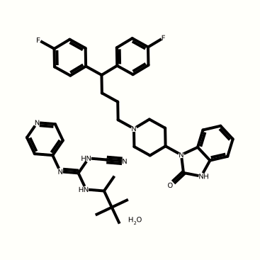 CC(N/C(=N/c1ccncc1)NC#N)C(C)(C)C.O.O=c1[nH]c2ccccc2n1C1CCN(CCCC(c2ccc(F)cc2)c2ccc(F)cc2)CC1